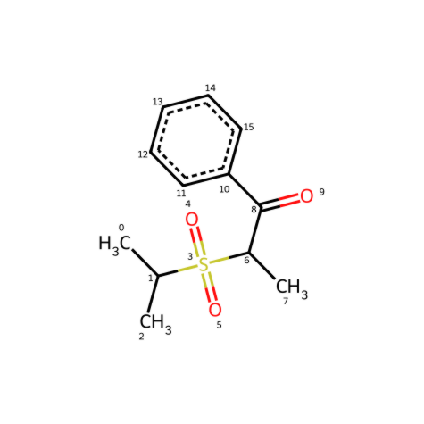 CC(C)S(=O)(=O)C(C)C(=O)c1ccccc1